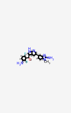 Cn1c(N)nc2cc(-c3cnc4[nH]cc(C(=O)c5c(F)ccc(N)c5F)c4c3)ccc21